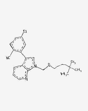 C[Si](C)(C)CCOCn1cc(-c2cc(Cl)ccc2C#N)c2cccnc21